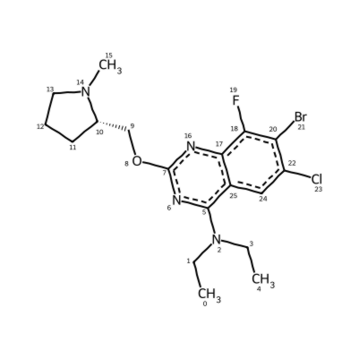 CCN(CC)c1nc(OC[C@@H]2CCCN2C)nc2c(F)c(Br)c(Cl)cc12